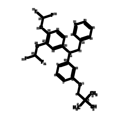 CC(C)(O)COc1cccc(N(Cc2cccnc2)c2ccc(OC(F)F)c(OC(F)F)c2)c1